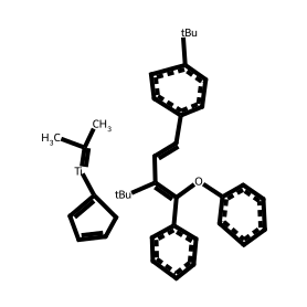 CC(C)(C)C(C=Cc1ccc(C(C)(C)C)cc1)=C(Oc1ccccc1)c1ccccc1.C[C](C)=[Ti][C]1=CC=CC1